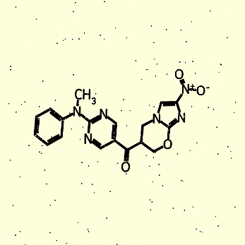 CN(c1ccccc1)c1ncc(C(=O)C2COc3nc([N+](=O)[O-])cn3C2)cn1